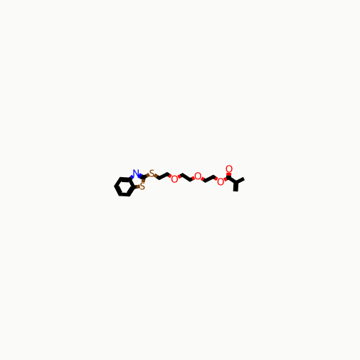 C=C(C)C(=O)OCCOCCOCCSc1nc2ccccc2s1